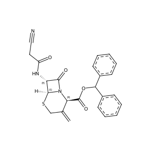 C=C1CS[C@H]2[C@H](NC(=O)CC#N)C(=O)N2[C@H]1C(=O)OC(c1ccccc1)c1ccccc1